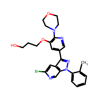 Cc1ccccc1-n1nc(-c2cnc(N3CCOCC3)c(OCCCO)c2)c2cc(Br)ncc21